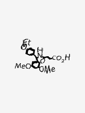 CCOc1ccc(C(NC(=O)/C=C/C(=O)O)c2cc(OC)cc(OC)c2)cc1